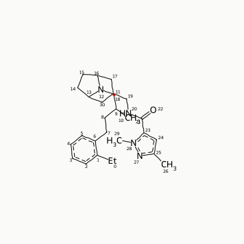 CCc1ccccc1CCC(C)CN1C2CCC1CC(CNC(=O)c1cc(C)nn1C)C2